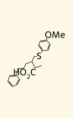 COc1ccc(SCC(CCCc2ccccc2)C(C)C(=O)O)cc1